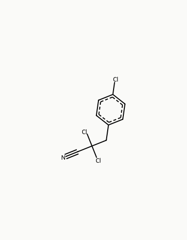 N#CC(Cl)(Cl)Cc1ccc(Cl)cc1